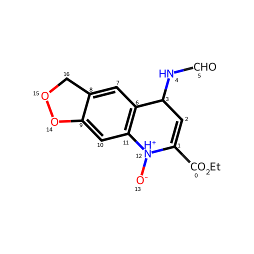 CCOC(=O)C1=CC(NC=O)c2cc3c(cc2[NH+]1[O-])OOC3